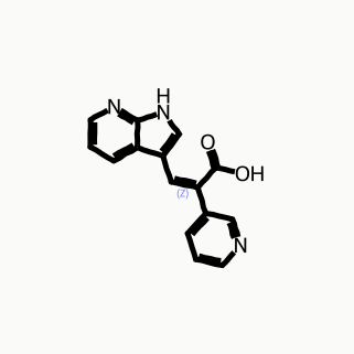 O=C(O)/C(=C\c1c[nH]c2ncccc12)c1cccnc1